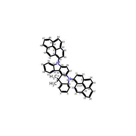 CC1(C)c2ccccc2N(c2ccc3ccc4cccc5ccc2c3c45)c2ccc3c(c21)c1ccccc1n3-c1ccc2ccc3cccc4ccc1c2c34